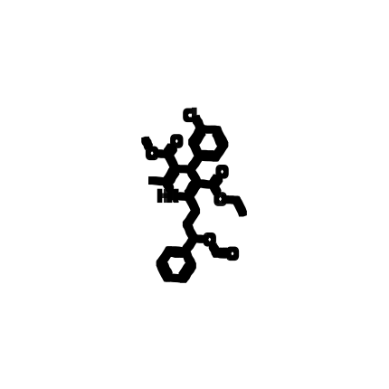 CCOC(=O)C1=C(CCC(OC=O)c2ccccc2)NC(C)=C(C(=O)OC)C1c1cccc(Cl)c1